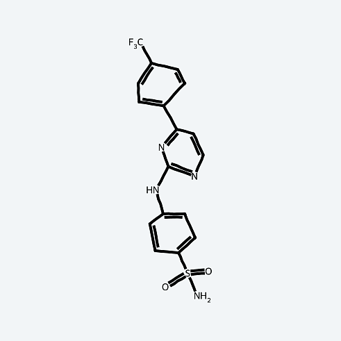 NS(=O)(=O)c1ccc(Nc2nccc(-c3ccc(C(F)(F)F)cc3)n2)cc1